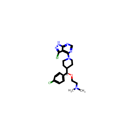 CN(C)CCO[C@@H](c1ccc(Cl)cc1)C1CCN(c2ncnc3[nH]nc(Br)c23)CC1